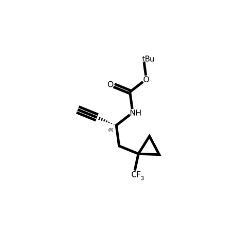 C#C[C@@H](CC1(C(F)(F)F)CC1)NC(=O)OC(C)(C)C